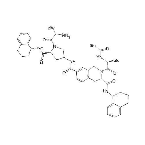 CC[C@@H](C)C(=O)N[C@H](C(=O)N1Cc2cc(C(=O)NC3C[C@@H](C(=O)NC4CCCc5ccccc54)N(C(=O)[C@@H](N)C(C)(C)C)C3)ccc2C[C@H]1C(=O)NC1CCCc2ccccc21)C(C)(C)C